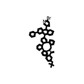 C=C(c1cccc(CC(C)(C)C)c1)[C@@H]1Cc2ccccc2-c2cc(-c3c4ccccc4c(-c4ccc(Br)nc4)c4ccc(-c5ccccc5)cc34)ccc2-c2ccccc2-c2ccccc21